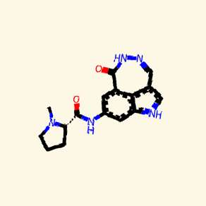 CN1CCC[C@H]1C(=O)Nc1cc2c3c(c[nH]c3c1)C=NNC2=O